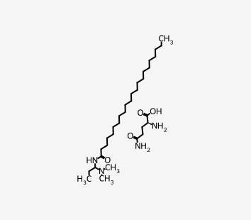 CCCCCCCCCCCCCCCCCCCCCC(=O)NC(CC)N(C)C.NC(=O)CC[C@H](N)C(=O)O